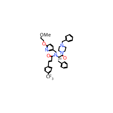 COCCOc1ccc(CN(C(=O)C=Cc2ccc(C(F)(F)F)cc2)[C@@H](Cc2ccccc2)C(=O)N2CCN(Cc3ccccc3)CC2)cn1